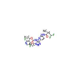 C[C@@H](OC(=O)Nc1c(-c2ccc(NC(=O)[C@]3(C#N)C[C@H]3C(F)F)cn2)nnn1C)c1cc(F)cnc1F